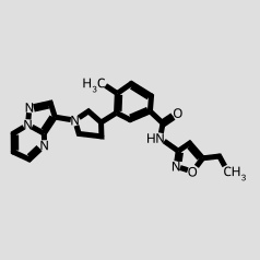 CCc1cc(NC(=O)c2ccc(C)c(C3CCN(c4cnn5cccnc45)C3)c2)no1